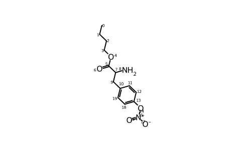 CCCCOC(=O)C(N)Cc1ccc(O[N+](=O)[O-])cc1